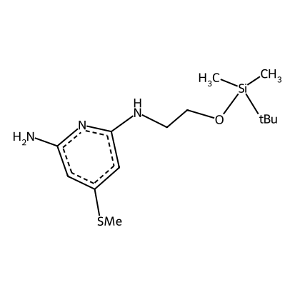 CSc1cc(N)nc(NCCO[Si](C)(C)C(C)(C)C)c1